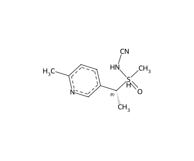 Cc1ccc([C@@H](C)[SH](C)(=O)NC#N)cn1